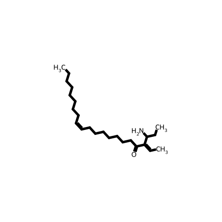 CC=C(C(=O)CCCCCCC/C=C\CCCCCCCC)C(N)CC